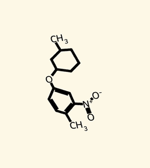 Cc1ccc(OC2CCCC(C)C2)cc1[N+](=O)[O-]